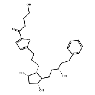 O=C(OCCO)c1ccc(CCC[C@@H]2[C@@H](CC[C@@H](O)CCc3ccccc3)[C@H](O)C[C@@H]2O)s1